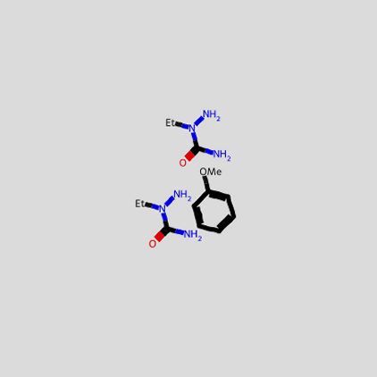 CCN(N)C(N)=O.CCN(N)C(N)=O.COc1ccccc1